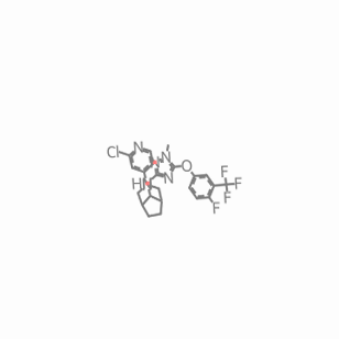 Cn1nc(NC2C3CCC2CN(c2ccnc(Cl)c2)C3)nc1Oc1ccc(F)c(C(F)(F)F)c1